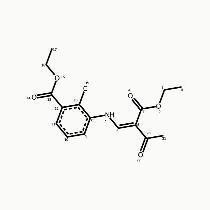 CCOC(=O)C(=CNc1cccc(C(=O)OCC)c1Cl)C(C)=O